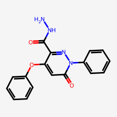 NNC(=O)c1nn(-c2ccccc2)c(=O)cc1Oc1ccccc1